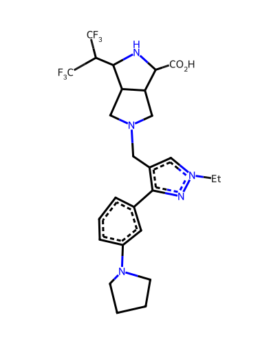 CCn1cc(CN2CC3C(C(=O)O)NC(C(C(F)(F)F)C(F)(F)F)C3C2)c(-c2cccc(N3CCCC3)c2)n1